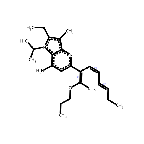 CC/C=C/C=C\C(=C(/C)OCCC)c1cc(N)c2c(n1)c(C)c(CC)n2C(C)C